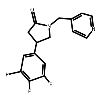 O=C1CC(c2cc(F)c(F)c(F)c2)CN1Cc1ccncc1